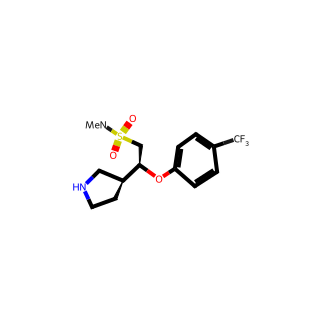 CNS(=O)(=O)C[C@@H](Oc1ccc(C(F)(F)F)cc1)[C@H]1CCNC1